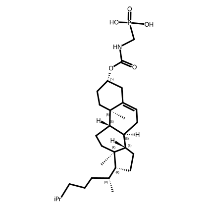 CC(C)CCC[C@@H](C)[C@H]1CC[C@H]2[C@@H]3CC=C4C[C@@H](OC(=O)NCP(=O)(O)O)CC[C@]4(C)[C@H]3CC[C@]12C